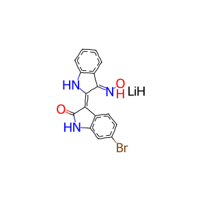 O=C1Nc2cc(Br)ccc2/C1=C1/Nc2ccccc2/C1=N\O.[LiH]